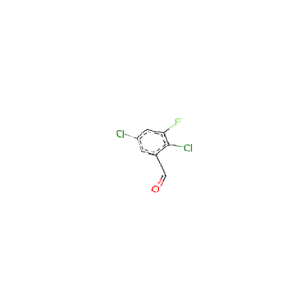 O=Cc1cc(Cl)cc(F)c1Cl